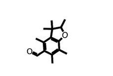 Cc1c(C)c2c(c(C)c1C=O)C(C)(C)C(C)O2